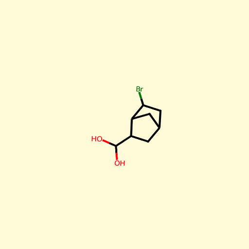 OC(O)C1CC2CC(Br)C1C2